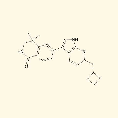 CC1(C)CNC(=O)c2ccc(-c3c[nH]c4nc(CC5CCC5)ccc34)cc21